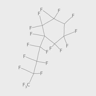 FC1C(F)(F)C(F)(F)C(F)(C(F)(F)C(F)(F)C(F)(F)C(F)(F)F)C(F)(F)C1(F)F